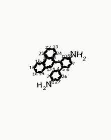 Nc1ccc(-c2ccc(N)cc2-c2cc3ccccc3c3ccccc23)cc1